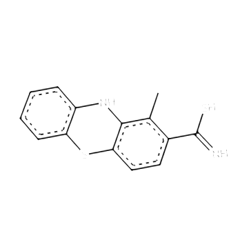 Cc1c(C(=N)S)ccc2c1Nc1ccccc1S2